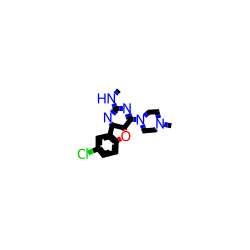 CNC1=NC2c3cc(Cl)ccc3OC2C(N2CCN(C)CC2)=N1